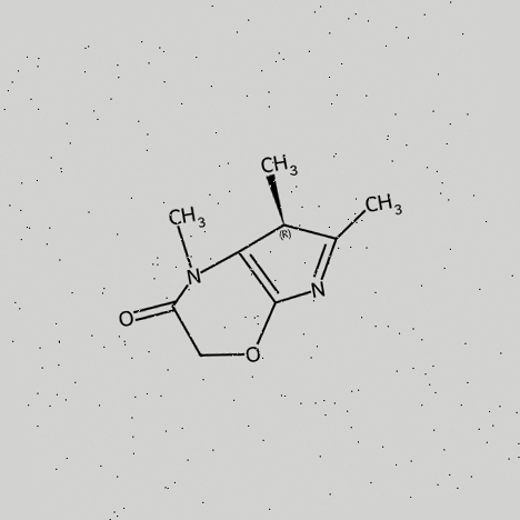 CC1=NC2=C([C@H]1C)N(C)C(=O)CO2